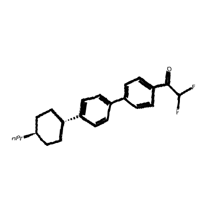 CCC[C@H]1CC[C@H](c2ccc(-c3ccc(C(=O)C(F)F)cc3)cc2)CC1